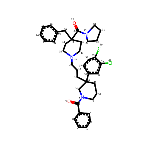 O=C(c1ccccc1)N1CCCC(CCCN2CCC(Cc3ccccc3)(C(=O)N3CCCC3)CC2)(c2ccc(Cl)c(Cl)c2)C1